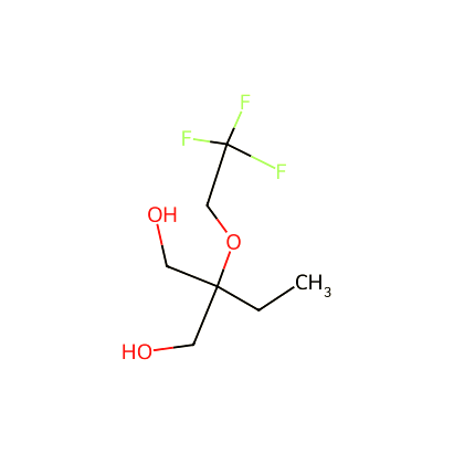 CCC(CO)(CO)OCC(F)(F)F